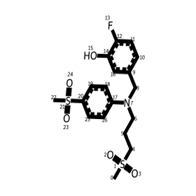 CS(=O)(=O)CCCN(Cc1ccc(F)c(O)c1)c1ccc(S(C)(=O)=O)cc1